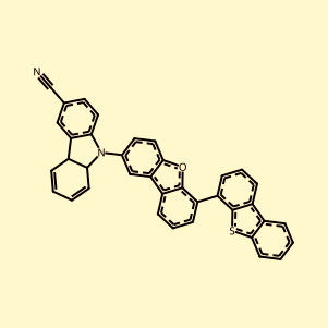 N#Cc1ccc2c(c1)C1C=CC=CC1N2c1ccc2oc3c(-c4cccc5c4sc4ccccc45)cccc3c2c1